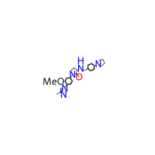 COc1cc(N2CCC(NCc3ccc(N4CCCC4)cc3)C2=O)ccc1-n1cnc(C)c1